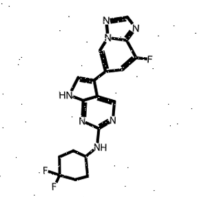 Fc1cc(-c2c[nH]c3nc(NC4CCC(F)(F)CC4)ncc23)cn2ncnc12